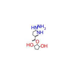 C=C(OC1C(O)CCC1O)C1=CNC(NN)CC1